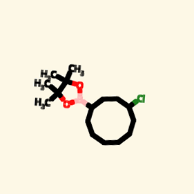 CC1(C)OB(C2CCCCCCC(Cl)CC2)OC1(C)C